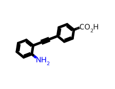 Nc1ccccc1C#Cc1ccc(C(=O)O)cc1